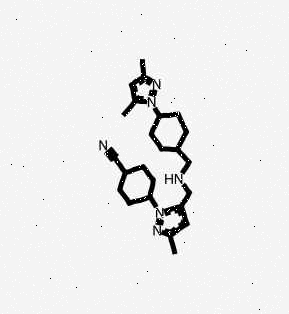 Cc1cc(C)n(C2CCC(CNCc3cc(C)nn3C3CCC(C#N)CC3)CC2)n1